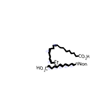 CC/C=C\C/C=C\C/C=C\CCCCCCCC(=O)O.CCCCCCCCC/C=C/C=C/C=C/C=C/C=C/C(=O)O